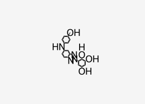 Oc1ccc(Nc2ccc3nn(-c4cc(O)cc(O)c4O)nc3c2)cc1